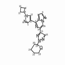 c1cc2c(-c3cnn(C4CCC4)c3)nc(-c3cnn(C4CCCCO4)n3)cn2n1